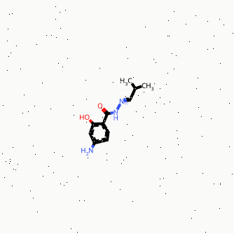 CC(C)/C=N/NC(=O)c1ccc(N)cc1O